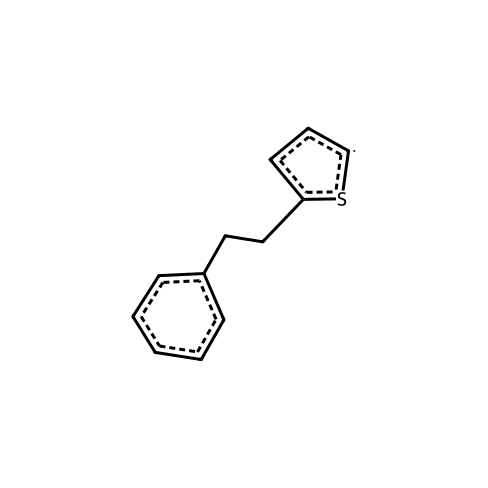 [c]1ccc(CCc2ccccc2)s1